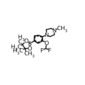 CN1CCN(c2ccc(B3OC(C)(C)C(C)(C)O3)cc2OC(F)F)CC1